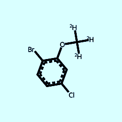 [2H]C([2H])([2H])Oc1cc(Cl)ccc1Br